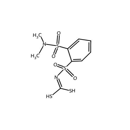 CN(C)S(=O)(=O)c1ccccc1S(=O)(=O)N=C(S)S